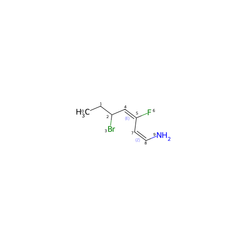 CCC(Br)/C=C(F)\C=C/N